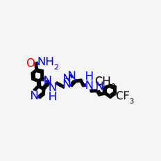 Cn1c(CNCCc2cn(CCNc3nc4cc(C(N)=O)ccc4c4cnccc34)nn2)cc2cc(C(F)(F)F)ccc21